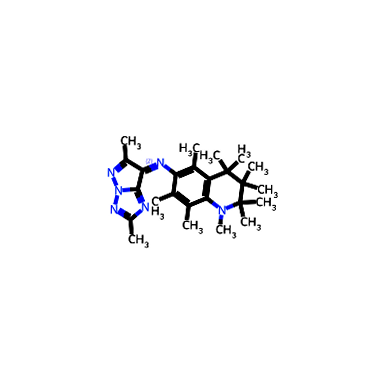 CC1=Nn2nc(C)nc2/C1=N\c1c(C)c(C)c2c(c1C)C(C)(C)C(C)(C)C(C)(C)N2C